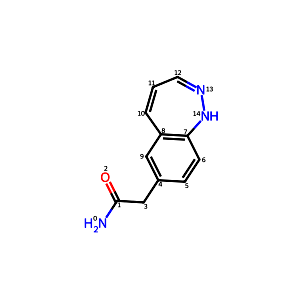 NC(=O)Cc1ccc2c(c1)C=CC=NN2